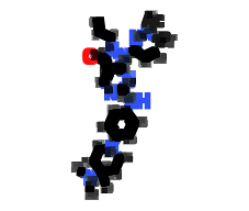 C=CCn1c(=O)c2cnc(Nc3ccc(N4CCC(C)(N(C)C)CC4)cc3)nc2n1/C(C=C)=N/N(C(C)=O)C(C)C